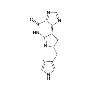 O=c1[nH]c2c(c3c1=NC=N3)CC(Cc1c[nH]cn1)N=2